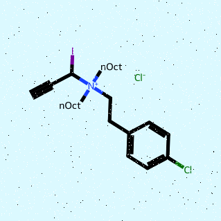 C#CC(I)[N+](CCCCCCCC)(CCCCCCCC)CCc1ccc(Cl)cc1.[Cl-]